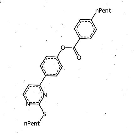 CCCCCSc1nccc(-c2ccc(OC(=O)c3ccc(CCCCC)cc3)cc2)n1